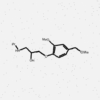 COCc1ccc(OCC(O)CNC(C)C)c(OC)c1